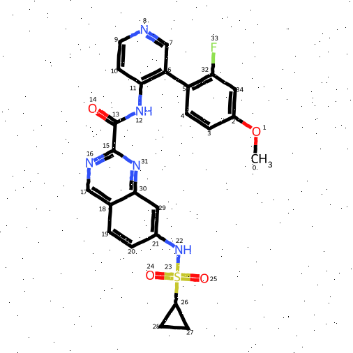 COc1ccc(-c2cnccc2NC(=O)c2ncc3ccc(NS(=O)(=O)C4CC4)cc3n2)c(F)c1